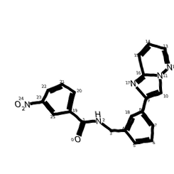 O=C(NCc1cccc(-c2cn3ncccc3n2)c1)c1cccc([N+](=O)[O-])c1